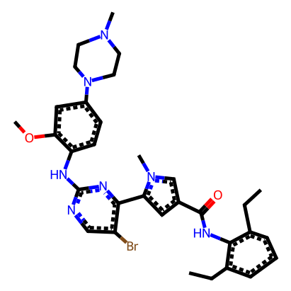 CCc1cccc(CC)c1NC(=O)c1cc(-c2nc(Nc3ccc(N4CCN(C)CC4)cc3OC)ncc2Br)n(C)c1